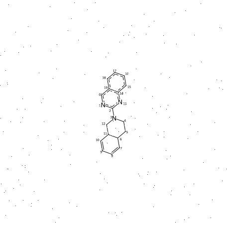 [c]1nc(N2CCC3C=CC=CC3C2)nc2ccccc12